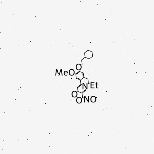 CCC1Cc2cc(OCCC3CCCCC3)c(OC)cc2-c2cc(=O)c(C(=O)N=O)cn21